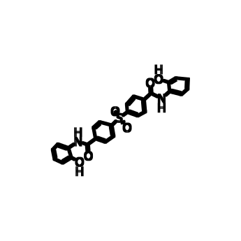 O=C(Nc1ccccc1O)c1ccc(S(=O)(=O)c2ccc(C(=O)Nc3ccccc3O)cc2)cc1